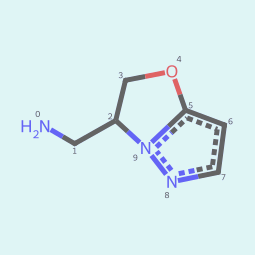 NCC1COc2ccnn21